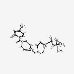 CC(C)(C)OC(=O)N1CCC(CN2CCN(C(=O)c3ccc(N)cc3F)CC2)CC1